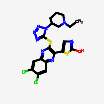 CCN1CCCC(n2nnnc2Sc2nc3cc(Cl)c(Cl)cc3nc2-c2cnc(O)s2)C1